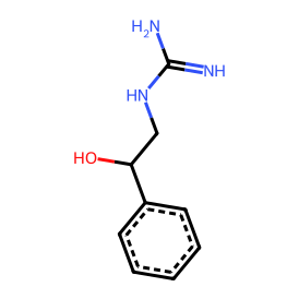 N=C(N)NCC(O)c1ccccc1